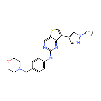 O=C(O)n1cc(-c2csc3cnc(Nc4ccc(CN5CCOCC5)cc4)nc23)cn1